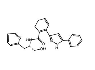 O=C(N[C@H](CO)Cc1ccccn1)C1=C(c2cc(-c3ccccc3)[nH]n2)C=CCC1